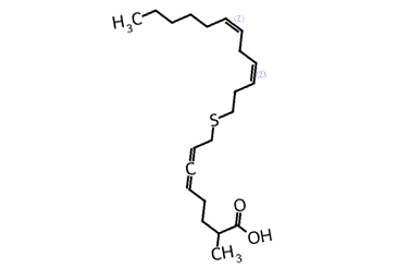 CCCCC/C=C\C/C=C\CCSCC=C=CCCC(C)C(=O)O